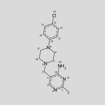 Cc1ncc(CN2CCN(c3ccc(Cl)cc3)CC2)c(N)n1